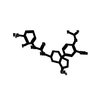 COc1cc(C23CCC(NC(=O)Nc4cccc(C(F)(F)F)c4F)CC2N(C)CC3)ccc1OC(F)F